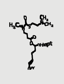 CCC/C=C/CCC(CCCCCCC)OC(=O)CCCN(C)C(=O)SCCN(C)C